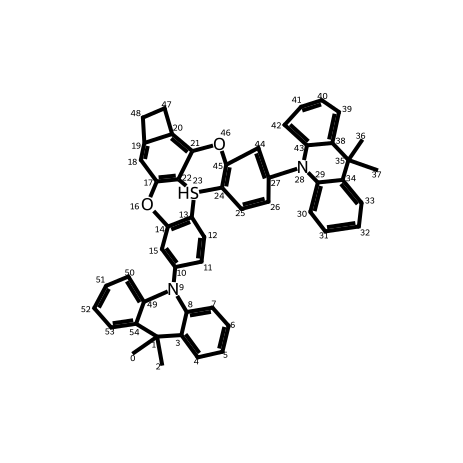 CC1(C)c2ccccc2N(c2ccc3c(c2)Oc2cc4c(c5c2[SH]3c2ccc(N3c6ccccc6C(C)(C)c6ccccc63)cc2O5)CC4)c2ccccc21